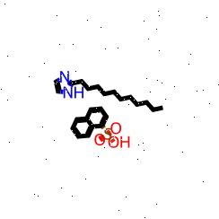 CCCCCCCCCCCc1ncc[nH]1.O=S(=O)(O)c1cccc2ccccc12